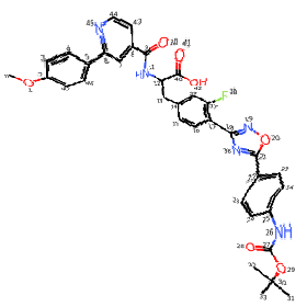 COc1ccc(-c2cc(C(=O)NC(Cc3ccc(-c4noc(-c5ccc(NC(=O)OC(C)(C)C)cc5)n4)c(F)c3)C(=O)O)ccn2)cc1